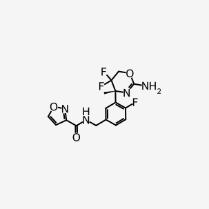 C[C@]1(c2cc(CNC(=O)c3ccon3)ccc2F)N=C(N)OCC1(F)F